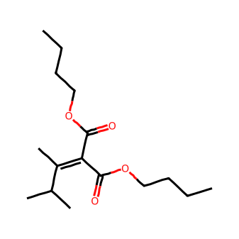 CCCCOC(=O)C(C(=O)OCCCC)=C(C)C(C)C